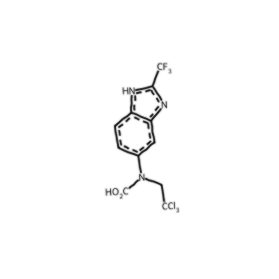 O=C(O)N(CC(Cl)(Cl)Cl)c1ccc2[nH]c(C(F)(F)F)nc2c1